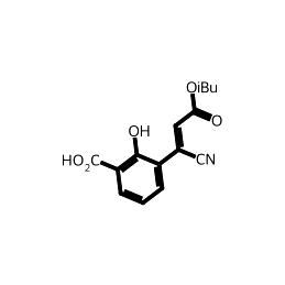 CC(C)COC(=O)C=C(C#N)c1cccc(C(=O)O)c1O